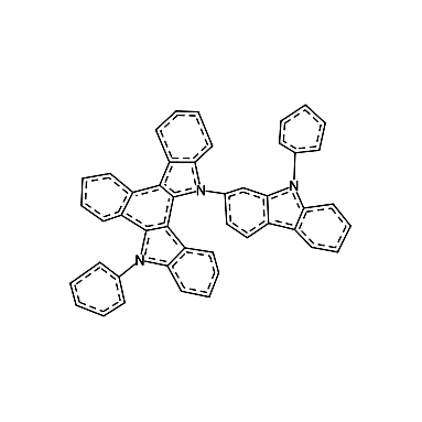 c1ccc(-n2c3ccccc3c3ccc(-n4c5ccccc5c5c6ccccc6c6c(c7ccccc7n6-c6ccccc6)c54)cc32)cc1